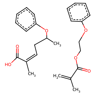 C=C(C)C(=O)OCCOc1ccccc1.CC(=CCC(C)Oc1ccccc1)C(=O)O